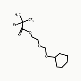 CCC(C)(C(=O)OCCOCOC1CCCCC1)C(F)(F)F